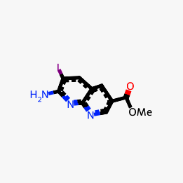 COC(=O)c1cnc2nc(N)c(I)cc2c1